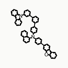 c1cc(-c2ccc(N(c3ccc(-c4ccc5c(c4)oc4ccccc45)cc3)c3cccc4ccccc34)cc2)cc(-c2cccc(-n3c4ccccc4c4ccccc43)c2)c1